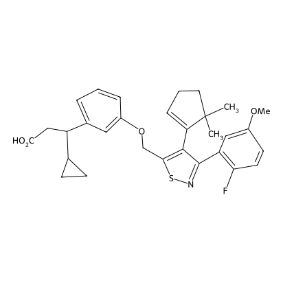 COc1ccc(F)c(-c2nsc(COc3cccc(C(CC(=O)O)C4CC4)c3)c2C2=CCCC2(C)C)c1